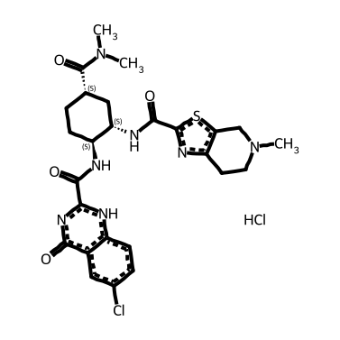 CN1CCc2nc(C(=O)N[C@H]3C[C@@H](C(=O)N(C)C)CC[C@@H]3NC(=O)c3nc(=O)c4cc(Cl)ccc4[nH]3)sc2C1.Cl